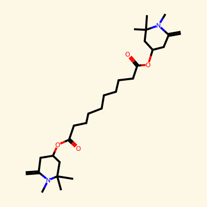 C=C1CC(OC(=O)CCCCCCCCC(=O)OC2CC(=C)N(C)C(C)(C)C2)CC(C)(C)N1C